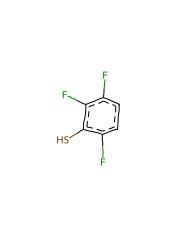 Fc1ccc(F)c(S)c1F